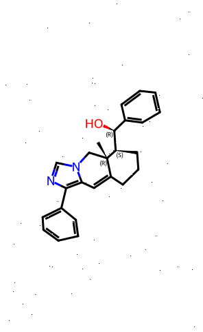 C[C@]12Cn3cnc(-c4ccccc4)c3C=C1CCC[C@@H]2[C@@H](O)c1ccccc1